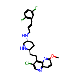 COc1ccc2ncc(Cl)c(CC[C@@H]3CC[C@@H](NC/C=C/c4cc(F)ccc4F)CN3)c2n1